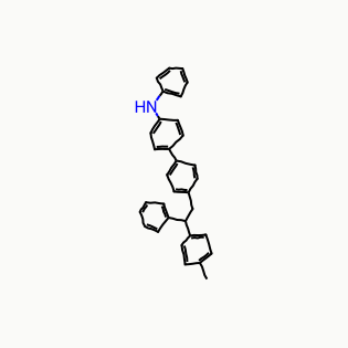 Cc1ccc(C(Cc2ccc(-c3ccc(Nc4ccccc4)cc3)cc2)c2ccccc2)cc1